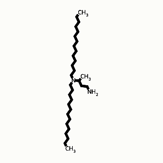 CCCCCCCCCCCCCCN(CCCCCCCCCCCCCC)C(C)CCN